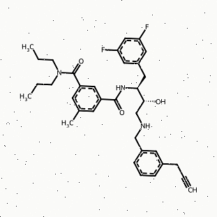 C#CCc1cccc(CNC[C@@H](O)[C@H](Cc2cc(F)cc(F)c2)NC(=O)c2cc(C)cc(C(=O)N(CCC)CCC)c2)c1